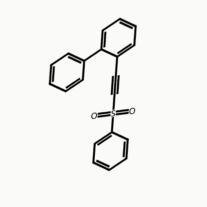 O=S(=O)(C#Cc1ccccc1-c1ccccc1)c1ccccc1